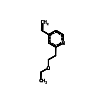 C=Cc1ccnc(CCOCC)c1